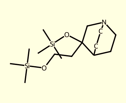 C[Si](C)(C)OCCC1(O[Si](C)(C)C)CN2CCC1CC2